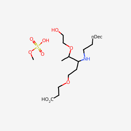 CCCCCCCCCCCCNC(CCOCCC(=O)O)C(C)OCCO.COS(=O)(=O)O